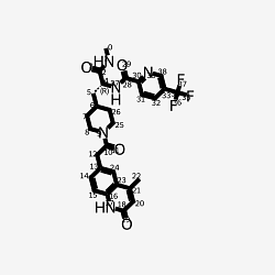 CNC(=O)[C@@H](CC1CCN(C(=O)Cc2ccc3[nH]c(=O)cc(C)c3c2)CC1)NC(=O)c1ccc(C(F)(F)F)cn1